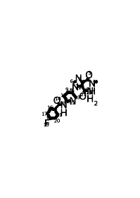 CNC(=O)c1ncn(-c2ccc(NC(=O)c3ccc(F)cc3)nc2)c1C(N)=O